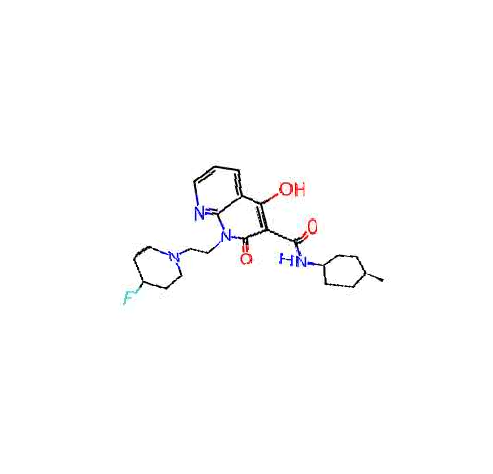 C[C@H]1CC[C@@H](NC(=O)c2c(O)c3cccnc3n(CCN3CCC(F)CC3)c2=O)CC1